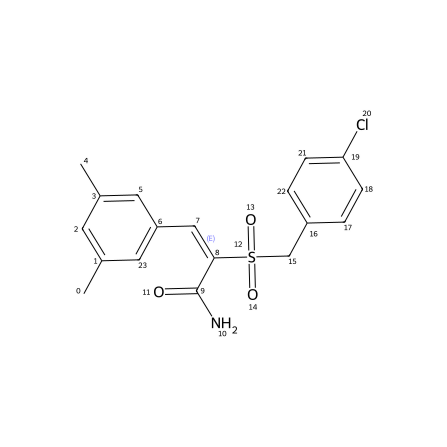 Cc1cc(C)cc(/C=C(\C(N)=O)S(=O)(=O)Cc2ccc(Cl)cc2)c1